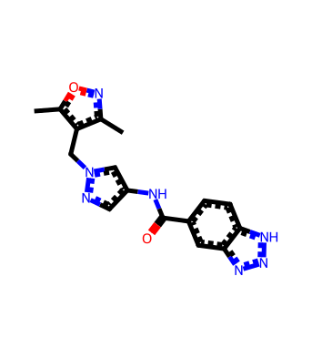 Cc1noc(C)c1Cn1cc(NC(=O)c2ccc3[nH]nnc3c2)cn1